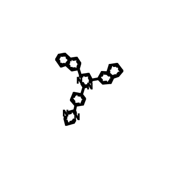 c1cnc(-c2ccc(-c3nc(-c4ccc5ccccc5c4)cc(-c4ccc5ccccc5c4)n3)cc2)nc1